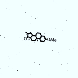 COc1ccc2c(c1)CCC1=C3C=C(C)C(=O)[C@@]3(C)CC[C@]12C